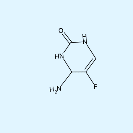 NC1NC(=O)NC=C1F